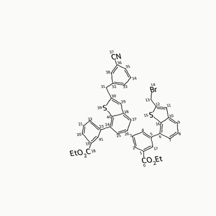 CCOC(=O)c1cccc(-c2cccc3cc(CBr)sc23)c1.CCOC(=O)c1cccc(-c2cccc3cc(Cc4cccc(C#N)c4)sc23)c1